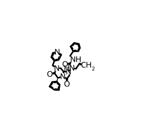 C=CCN(C(=O)NCc1ccccc1)N1CC(=O)N2[C@@H](c3ccccc3)C(=O)N(Cc3ccncc3)C[C@@H]21